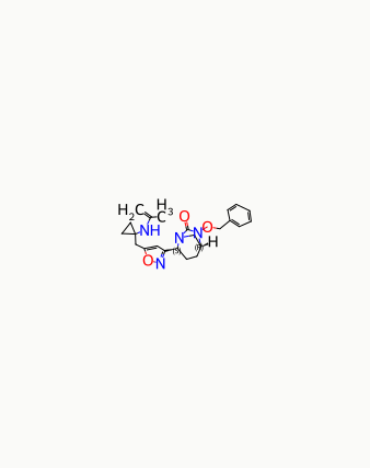 C=C(C)NC1(Cc2cc([C@@H]3CC[C@@H]4CN3C(=O)N4OCc3ccccc3)no2)CC1